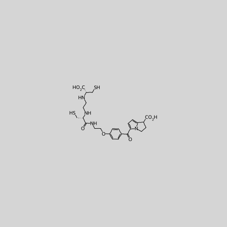 O=C(c1ccc(OCCNC(=O)[C@H](CS)NCCN[C@@H](CS)C(=O)O)cc1)c1ccc2n1CCC2C(=O)O